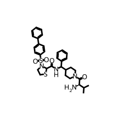 CC(C)[C@@H](N)C(=O)N1CCC(C(NC(=O)C2SCCN2S(=O)(=O)c2ccc(-c3ccccc3)cc2)c2ccccc2)CC1